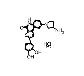 Cl.Cl.NC1CCN(c2ccc3[nH]c(=O)c4sc(-c5ccc(O)c(O)c5)cc4c3c2)C1